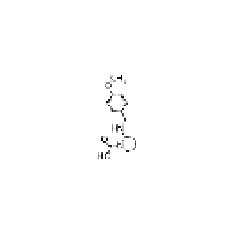 COc1ccc(CNC2CCCN2C(=O)O)cc1